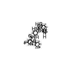 O=C(NC1CCC(NS(=O)(=O)C2=C(O)C=CN3SNC=C23)CC1)c1cc(F)cnc1OC1CCSCC1